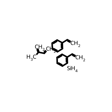 C=CC(=C)C.C=Cc1ccccc1.C=Cc1ccccc1.[SiH4]